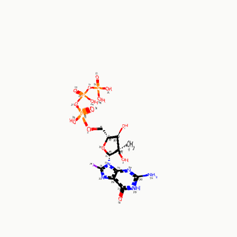 C[C@@]1(O)[C@H](O)[C@@H](COP(=O)(O)OP(=O)(O)OP(=O)(O)O)O[C@H]1n1c(I)nc2c(=O)[nH]c(N)nc21